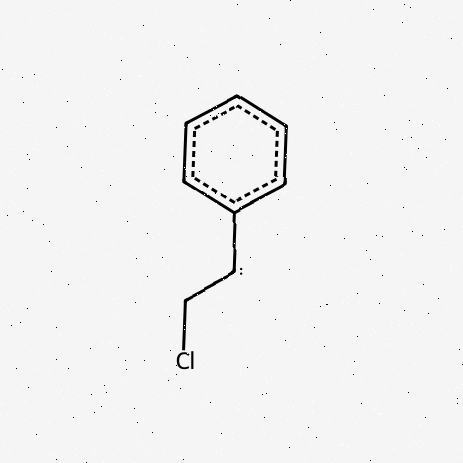 ClC[C]c1ccccc1